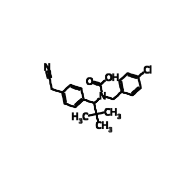 CC(C)(C)C(c1ccc(CC#N)cc1)N(Cc1ccc(Cl)cc1)C(=O)O